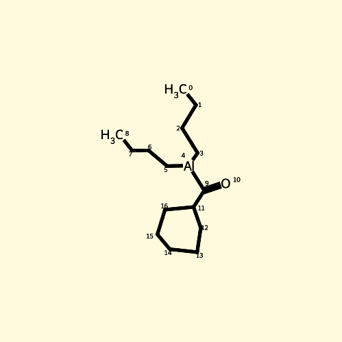 CCC[CH2][Al]([CH2]CCC)[C](=O)C1CCCCC1